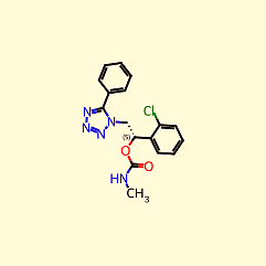 CNC(=O)O[C@H](Cn1nnnc1-c1ccccc1)c1ccccc1Cl